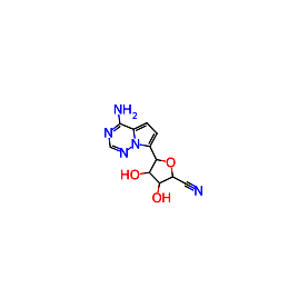 N#CC1OC(c2ccc3c(N)ncnn23)C(O)C1O